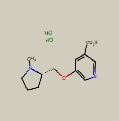 CN1CCC[C@H]1COc1cncc(C(=O)O)c1.Cl.Cl